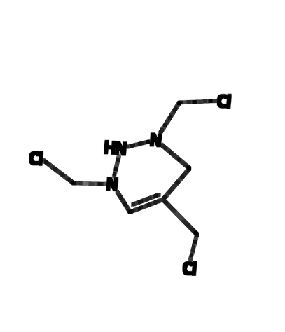 ClCC1=CN(CCl)NN(CCl)C1